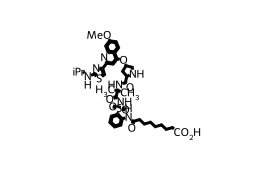 COc1ccc2c(OC3CNC(C(=O)NC(C)(C)C(=O)NS(=O)(=O)c4ccccc4NC(=O)CCCCCCCC(=O)O)C3)cc(-c3csc(NC(C)C)n3)nc2c1